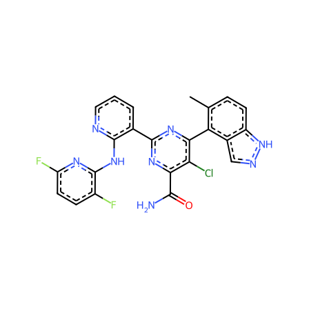 Cc1ccc2[nH]ncc2c1-c1nc(-c2cccnc2Nc2nc(F)ccc2F)nc(C(N)=O)c1Cl